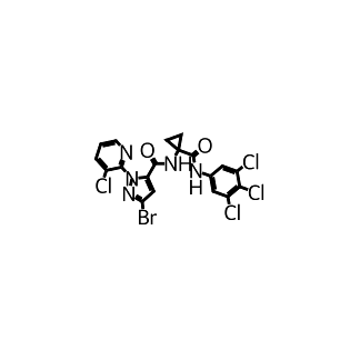 O=C(NC1(C(=O)Nc2cc(Cl)c(Cl)c(Cl)c2)CC1)c1cc(Br)nn1-c1ncccc1Cl